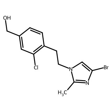 Cc1nc(Br)cn1CCc1ccc(CO)cc1Cl